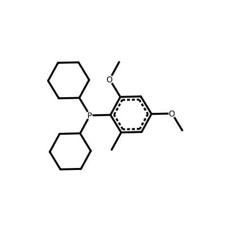 COc1cc(C)c(P(C2CCCCC2)C2CCCCC2)c(OC)c1